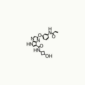 C=CC(=O)Nc1cccc(Oc2cnc3[nH]cc(C(=O)NC4CC(O)C4)c3n2)c1